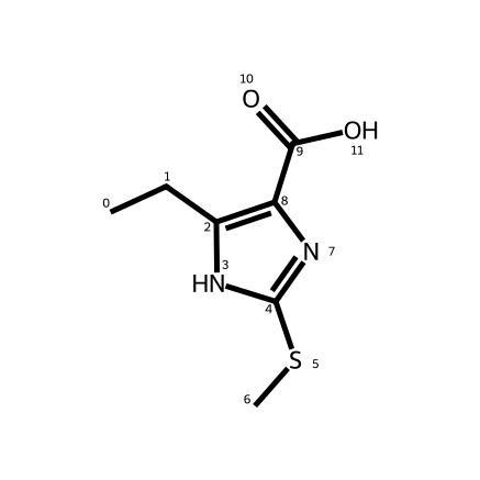 CCc1[nH]c(SC)nc1C(=O)O